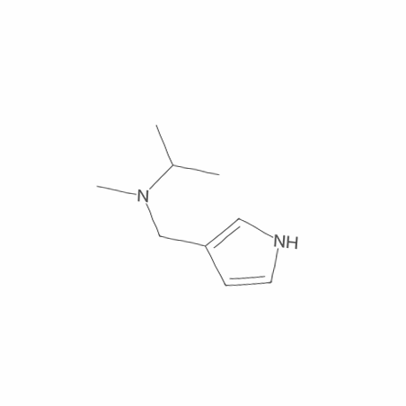 CC(C)N(C)Cc1cc[nH]c1